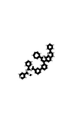 C=C=C(/N=C(\N=C(/C)C1=CC=CC(c2cccc(-c3cc(C4=CCC=CC=C4)nc4c3ccc3ccc(-c5ccccc5)nc34)c2)C1)C1C=CC=CC1)c1ccncc1